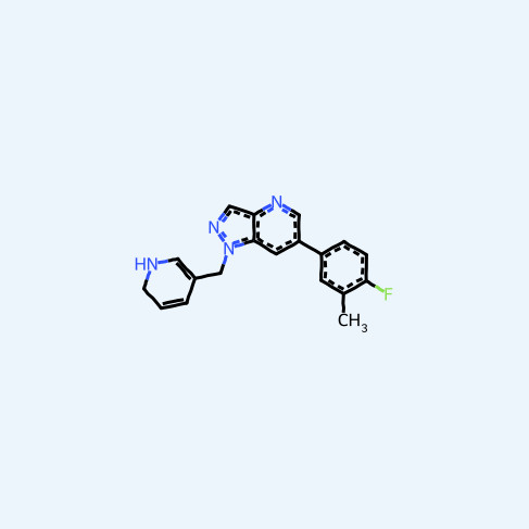 Cc1cc(-c2cnc3cnn(CC4=CNCC=C4)c3c2)ccc1F